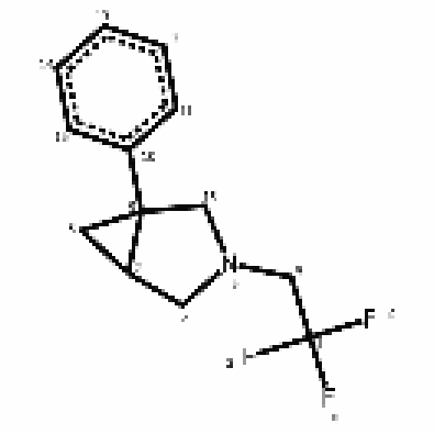 FC(F)(F)CN1CC2CC2(c2ccccc2)C1